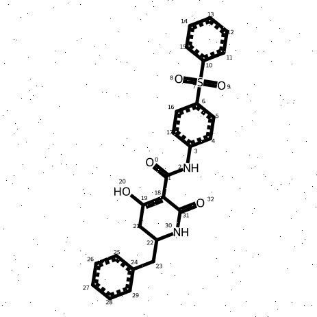 O=C(Nc1ccc(S(=O)(=O)c2ccccc2)cc1)C1=C(O)CC(Cc2ccccc2)NC1=O